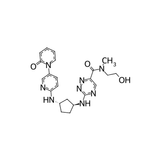 CN(CCO)C(=O)c1cnc(N[C@H]2CC[C@H](Nc3ccc(-n4ccccc4=O)cn3)C2)nn1